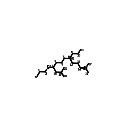 CCCSC(CCC[C@@H](CCC)CCCN(C)C)CC(C)C